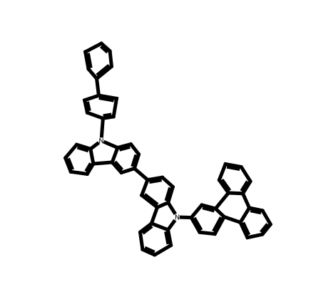 c1ccc(-c2ccc(-n3c4ccccc4c4cc(-c5ccc6c(c5)c5ccccc5n6-c5ccc6c7ccccc7c7ccccc7c6c5)ccc43)cc2)cc1